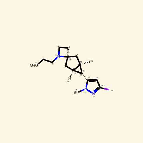 COCCN1CC[C@@]12C[C@@H]1[C@H](C2)[C@H]1c1cc(I)nn1C(C)C